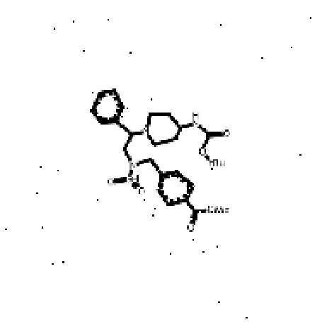 COC(=O)c1ccc(CN(CC(c2ccccc2)N2CCC(NC(=O)OC(C)(C)C)CC2)[SH](=O)=O)cc1